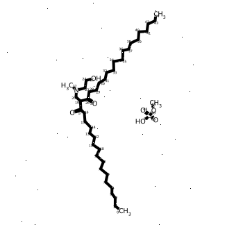 CCCCCCCCCCCCCCCCCC(=O)C(CN(C)CCO)C(=O)CCCCCCCCCCCCCCCCC.COS(=O)(=O)O